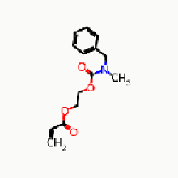 C=CC(=O)OCCOC(=O)N(C)Cc1ccccc1